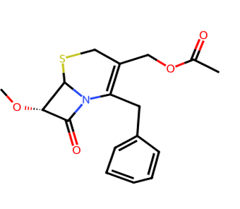 CO[C@H]1C(=O)N2C(Cc3ccccc3)=C(COC(C)=O)CSC12